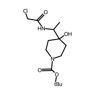 CC(NC(=O)CCl)C1(O)CCN(C(=O)OC(C)(C)C)CC1